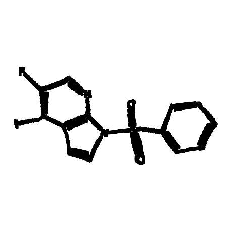 O=S(=O)(c1ccccc1)n1ccc2c(I)c(F)cnc21